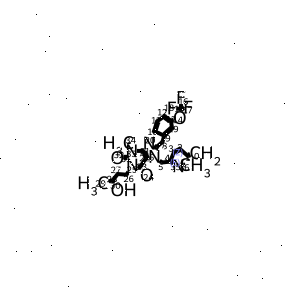 C=C/C=C\C(Cn1c(Cc2cccc(OC(F)(F)F)c2)nc2c1c(=O)n(CCC(C)O)c(=O)n2C)=N/C